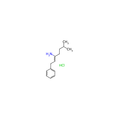 CC(C)CC/C(N)=C/Cc1ccccc1.Cl